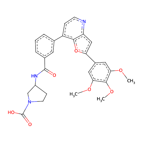 COc1cc(-c2cc3nccc(-c4cccc(C(=O)NC5CCN(C(=O)O)C5)c4)c3o2)cc(OC)c1OC